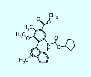 COC(=O)c1cc(NC(=O)OC2CCCC2)c(-c2cn(C)c3ccccc23)c(OC)c1C